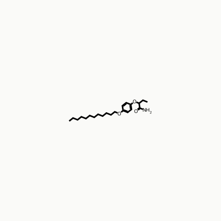 CCCCCCCCCCCCOc1ccc(OC(CC)C(N)=O)cc1